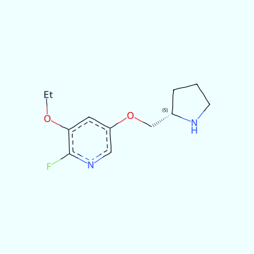 CCOc1cc(OC[C@@H]2CCCN2)cnc1F